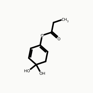 CCC(=O)OC1=CCC(O)(O)C=C1